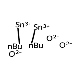 CCC[CH2][Sn+3].CCC[CH2][Sn+3].[O-2].[O-2].[O-2]